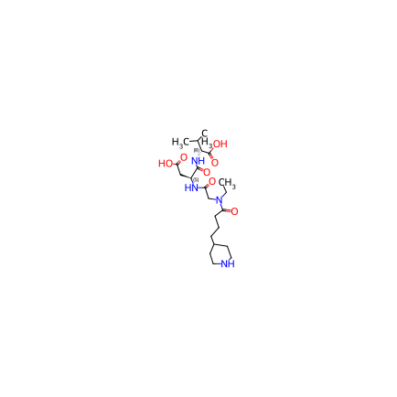 CCN(CC(=O)N[C@@H](CC(=O)O)C(=O)N[C@@H](C(=O)O)C(C)C)C(=O)CCCC1CCNCC1